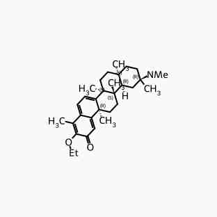 CCOC1=C(C)C2=CC=C3[C@@](C)(CC[C@@]4(C)[C@@H]5C[C@](C)(NC)CC[C@]5(C)CC[C@]34C)C2=CC1=O